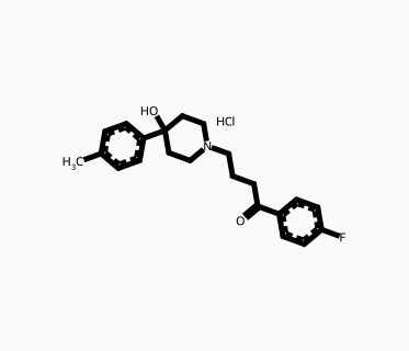 Cc1ccc(C2(O)CCN(CCCC(=O)c3ccc(F)cc3)CC2)cc1.Cl